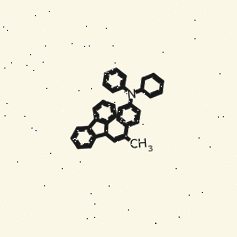 C/C(=C/C1c2ccccc2-c2ccccc21)c1ccc(N(c2ccccc2)C2C=CC=CC2)cc1